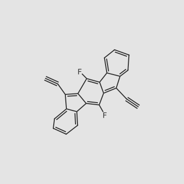 C#CC1=c2c(F)c3c(c(F)c2-c2ccccc21)=C(C#C)c1ccccc1-3